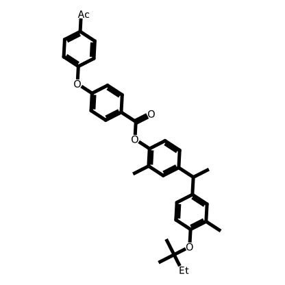 CCC(C)(C)Oc1ccc(C(C)c2ccc(OC(=O)c3ccc(Oc4ccc(C(C)=O)cc4)cc3)c(C)c2)cc1C